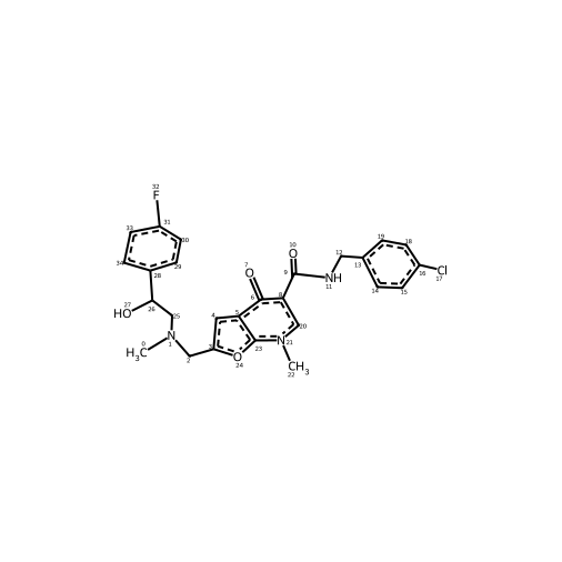 CN(Cc1cc2c(=O)c(C(=O)NCc3ccc(Cl)cc3)cn(C)c2o1)CC(O)c1ccc(F)cc1